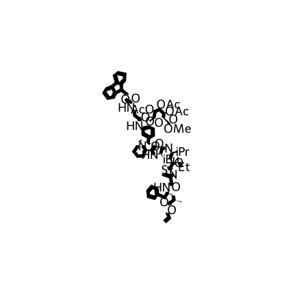 C=CCOC(=O)[C@@H](C)C[C@H](Cc1ccccc1)NC(=O)c1csc([C@@H](C[C@H](C(C)C)N(C)C(=O)[C@@H](NC(=O)[C@H]2CCCC[N+]2(C)Cc2ccc(O[C@@H]3O[C@H](C(=O)OC)[C@@H](OC(C)=O)[C@@H](OC(C)=O)[C@@H]3OC(C)=O)c(NC(=O)CCNC(=O)OCC3c4ccccc4-c4ccccc43)c2)[C@@H](C)CC)OCC)n1